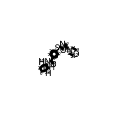 O=C(N[C@@H]1C[C@H]2CC[C@@H]1N2)c1ccc(Sc2ncc(N3CCOCC3)o2)cc1